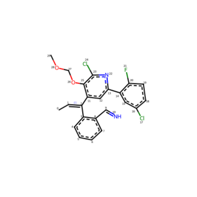 C/C=C(\c1ccccc1C=N)c1cc(-c2cc(Cl)ccc2F)nc(Cl)c1OCOC